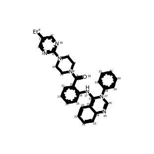 CCc1cnc(N2CCN(C(=O)c3ccccc3NC3=C4C=CC=CC4N=CN3c3ccccc3)CC2)nc1